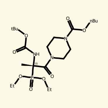 CCCCOC(=O)N1CCN(C(=O)[C@@](C)(NC(=O)OC(C)(C)C)P(=O)(OCC)OCC)CC1